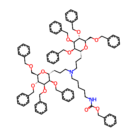 O=C(NCCCCCN(CCC[C@H]1O[C@H](COCc2ccccc2)[C@@H](OCc2ccccc2)[C@H](OCc2ccccc2)[C@@H]1OCc1ccccc1)CCC[C@H]1O[C@H](COCc2ccccc2)[C@@H](OCc2ccccc2)[C@H](OCc2ccccc2)[C@@H]1OCc1ccccc1)OCc1ccccc1